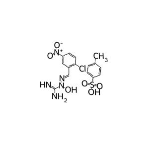 Cc1ccc(S(=O)(=O)O)cc1.N=C(N)N(O)/N=C/c1cc([N+](=O)[O-])ccc1Cl